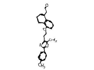 Cc1ccc(-c2nc(CCOc3cccc4c3CCC=C4CC=O)c(C)o2)cc1